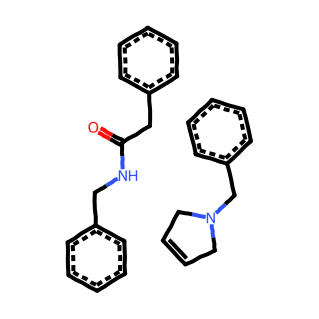 C1=CCN(Cc2ccccc2)C1.O=C(Cc1ccccc1)NCc1ccccc1